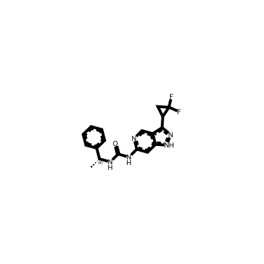 C[C@@H](NC(=O)Nc1cc2[nH]nc(C3CC3(F)F)c2cn1)c1ccccc1